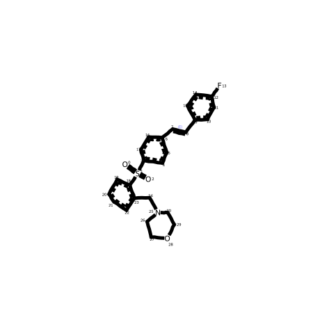 O=S(=O)(c1ccc(/C=C/c2ccc(F)cc2)cc1)c1ccccc1CN1CCOCC1